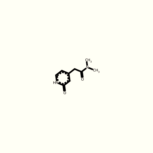 CN(C)C(=O)Cc1[c]c(=O)[nH]cc1